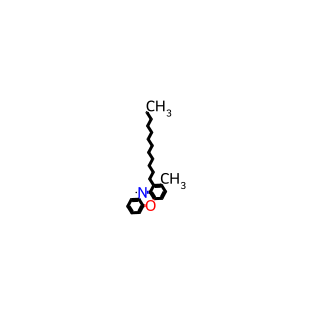 CCCCCCCCCCCCc1c(C)ccc2c1[N]c1ccccc1O2